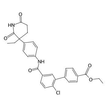 CCOC(=O)c1ccc(-c2cc(C(=O)Nc3ccc(C4(CC)CCC(=O)NC4=O)cc3)ccc2Cl)cc1